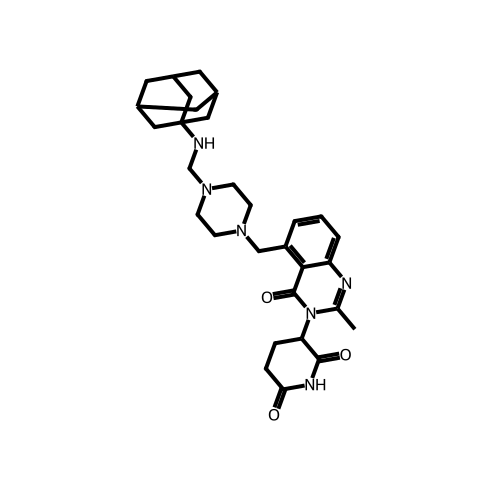 Cc1nc2cccc(CN3CCN(CNC45CC6CC(CC(C6)C4)C5)CC3)c2c(=O)n1C1CCC(=O)NC1=O